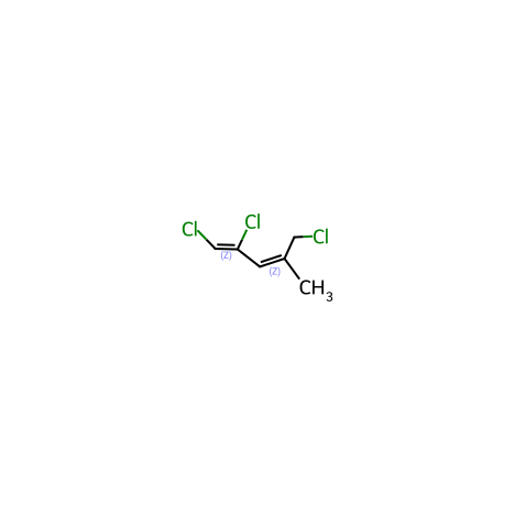 C/C(=C/C(Cl)=C/Cl)CCl